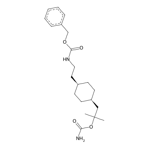 CC(C)(C[C@H]1CC[C@@H](CCNC(=O)OCc2ccccc2)CC1)OC(N)=O